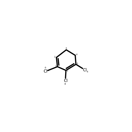 ClC1=CCCC(Cl)=C1Cl